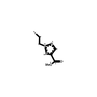 COC(=O)c1cnn(CCF)n1